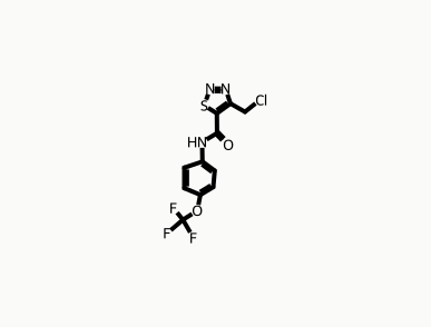 O=C(Nc1ccc(OC(F)(F)F)cc1)c1snnc1CCl